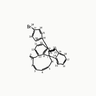 C=C1/C=C\C=C/CC2(c3ccccc31)c1ccccc1-c1ccc(-c3ccc(Br)cc3)cc12